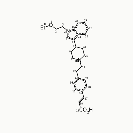 CCOCCn1cc(C2CCN(CCc3ccc(C=CC(=O)O)cc3)CC2)c2ccccc21